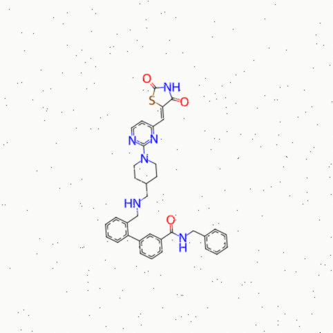 O=C1NC(=O)/C(=C/c2ccnc(N3CCC(CNCc4ccccc4-c4cccc(C(=O)NCc5ccccc5)c4)CC3)n2)S1